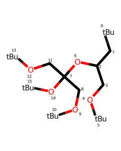 CC(C)(C)CC(COC(C)(C)C)OC(COC(C)(C)C)(COC(C)(C)C)OC(C)(C)C